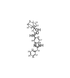 O=C(CC1(O)C2CC3CC(C2)CC1C3)Nc1ccc2[nH]c(Cc3ccccc3)nc2c1